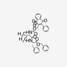 CC(C)[C@H](NC(=O)OCC1=C(c2ccccc2)C(=O)c2ccccc2S1(=O)=O)C(=O)N[C@@H](Cc1ccccc1)C(=O)OCc1ccccc1